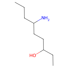 CCCC(N)CCC(O)CC